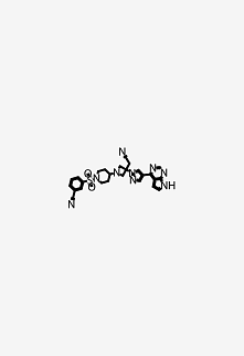 N#CCC1(n2cc(-c3ncnc4[nH]ccc34)cn2)CN(C2CCN(S(=O)(=O)c3cccc(C#N)c3)CC2)C1